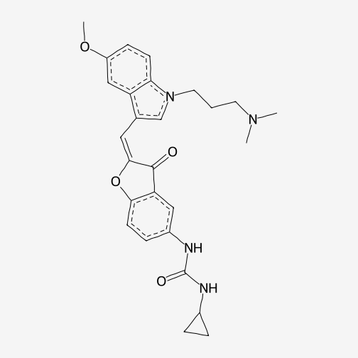 COc1ccc2c(c1)c(C=C1Oc3ccc(NC(=O)NC4CC4)cc3C1=O)cn2CCCN(C)C